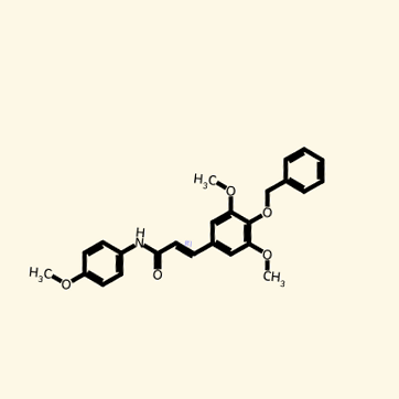 COc1ccc(NC(=O)/C=C/c2cc(OC)c(OCc3ccccc3)c(OC)c2)cc1